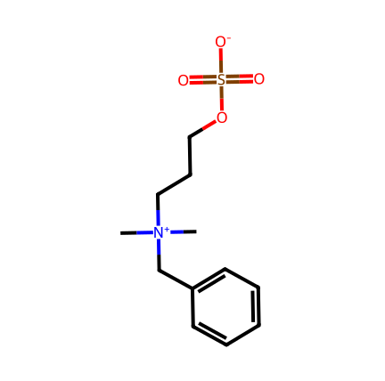 C[N+](C)(CCCOS(=O)(=O)[O-])Cc1ccccc1